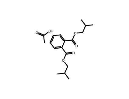 CC(=O)O.CC(C)COC(=O)c1ccccc1C(=O)OCC(C)C